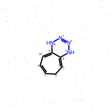 C1=CCC=C2NN=NNC2=C1